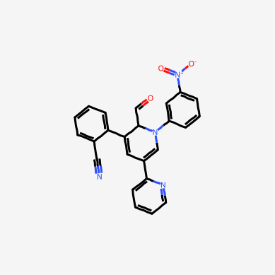 N#Cc1ccccc1C1=CC(c2ccccn2)=CN(c2cccc([N+](=O)[O-])c2)C1C=O